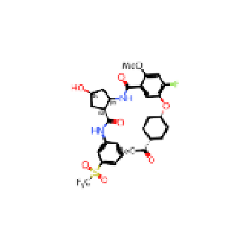 COc1cc(F)c(O[C@H]2CC[C@@H](C(=O)OC)CC2)cc1C(=O)N[C@@H]1C[C@H](O)C[C@@H]1C(=O)Nc1cccc(S(=O)(=O)C(F)(F)F)c1